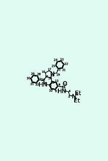 CCN(CC)CCNC(=O)c1ccc2c(c1)C1C(CCN1Cc1ccccc1)C(c1ccccc1)N2